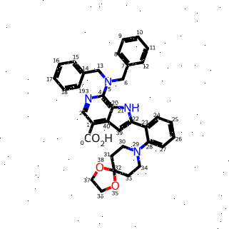 O=C(O)c1cnc(N(Cc2ccccc2)Cc2ccccc2)c2[nH]c(-c3ccccc3N3CCC4(CC3)OCCO4)cc12